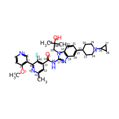 COc1ccncc1-c1nc(C)cc(C(=O)Nc2nc3cc(C4CCN(C5CC5)CC4)ccc3n2CC(C)(C)O)c1F